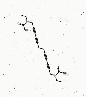 CCN(CC#CC#CCCC#CC#CCN(CC)C(N)=O)C(N)=O